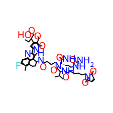 CC[C@@]1(O)C(=O)OCc2c1cc1n(c2=O)Cc2c-1nc1cc(F)c(C)c3c1c2[C@@H](NC(=O)CCCN(C(=O)[C@@H](NC(=O)CCCCCN1C(=O)C=CC1=O)C(C)C)[C@@H](CCCNC(N)=O)C(N)=O)CC3